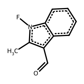 Cc1c(C=O)c2ccccc2n1F